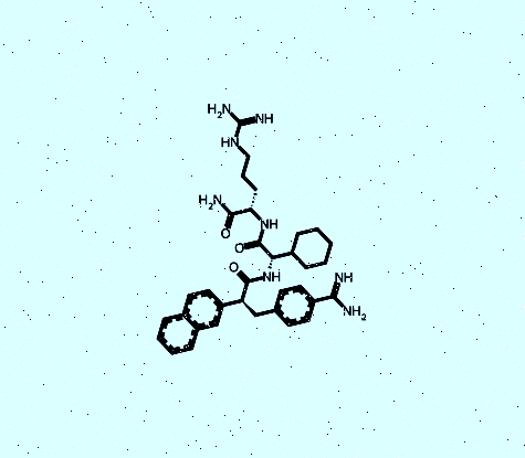 N=C(N)NCCC[C@H](NC(=O)[C@@H](NC(=O)[C@@H](Cc1ccc(C(=N)N)cc1)c1ccc2ccccc2c1)C1CCCCC1)C(N)=O